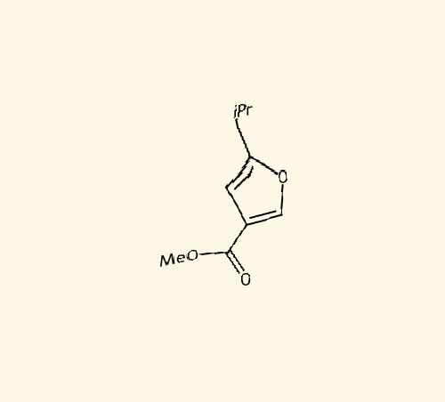 COC(=O)c1coc(C(C)C)c1